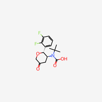 CC(C)(C)N(C(=O)O)[C@H]1CC(=O)CO[C@@H]1c1cccc(F)c1F